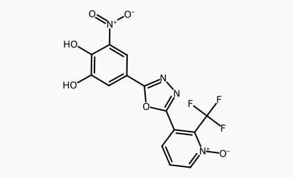 O=[N+]([O-])c1cc(-c2nnc(-c3ccc[n+]([O-])c3C(F)(F)F)o2)cc(O)c1O